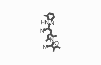 Cc1oc(-n2c(C)cc(/C=C(\C#N)c3nc4cccc(C)c4[nH]3)c2C)c(C#N)c1C